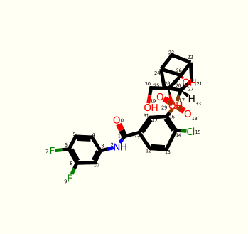 O=C(Nc1ccc(F)c(F)c1)c1ccc(Cl)c(S(=O)(=O)[C@H]2CC3CC(C2)[C@]3(O)[C@@H](O)CO)c1